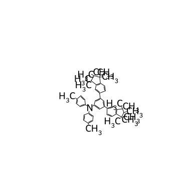 Cc1ccc(N(c2ccc(C)cc2)c2cc(-c3ccc4c(c3)C(C)(C)C(C)(C)C4(C)C)cc(-c3ccc4c(c3)C(C)(C)C(C)(C)C4(C)C)c2)cc1